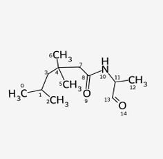 CC(C)CC(C)(C)CC(=O)NC(C)C=O